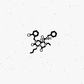 CCCC[C@H]1C(=O)N(Cc2ccccc2Cl)C[C@H]2N1C(=O)CN(CC)N2C(=O)NCc1ccccc1